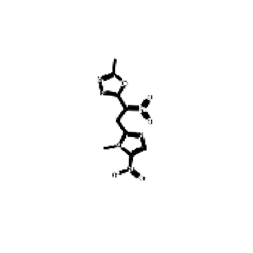 Cc1nnc(C(Cc2ncc([N+](=O)[O-])n2C)=S(=O)=O)o1